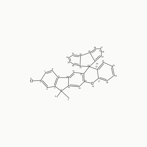 CC1(C)c2cc(Cl)ccc2-c2cc3c(cc21)Oc1ccccc1C31c2ccccc2-c2ccccc21